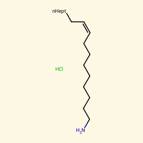 CCCCCCCC/C=C\CCCCCCCCN.Cl